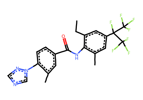 CCc1cc(C(F)(C(F)(F)F)C(F)(F)F)cc(C)c1NC(=O)c1ccc(-n2cncn2)c(C)c1